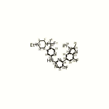 CCN1CCN([C@](C)(F)c2ccc(Nc3ncc(F)c(-c4cc(F)c5nc(C)n(C(C)C)c5c4)n3)nc2)CC1